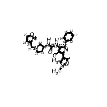 Cc1c(-c2cnn(C)c2)nn(-c2ccccc2)c1NC(=O)N[C@H]1CCN(Cc2ccon2)C1